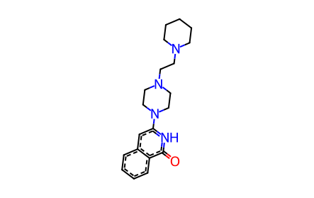 O=c1[nH]c(N2CCN(CCN3CCCCC3)CC2)cc2ccccc12